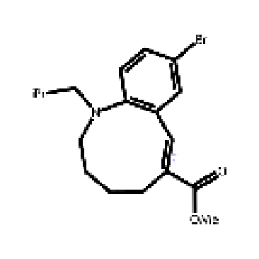 COC(=O)/C1=C/c2cc(Br)ccc2N(CC(C)C)CCCC1